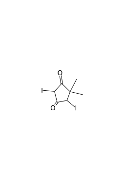 CC1(C)C(=O)C(I)C(=O)C1I